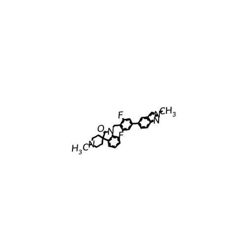 CN1CCC2(CC1)C(=O)N(Cc1c(F)cc(-c3ccc4nn(C)cc4c3)cc1F)c1ccccc12